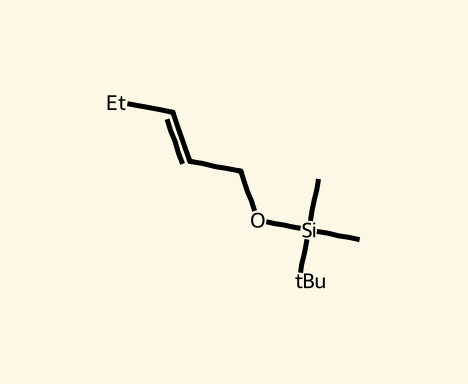 CCC=CCO[Si](C)(C)C(C)(C)C